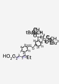 CC/C(=C/C=C/C(=O)O)c1cccc(CCc2ccc(CO[Si](C)(C)C(C)(C)C)c(CO[Si](C)(C)C(C)(C)C)c2)c1